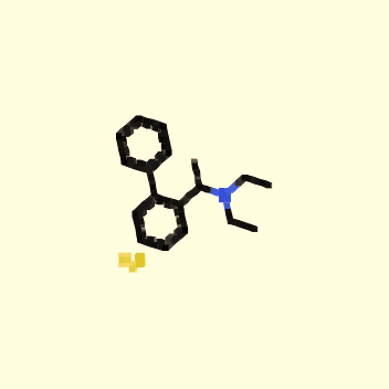 CCN(CC)C(C)c1ccccc1-c1ccccc1.S